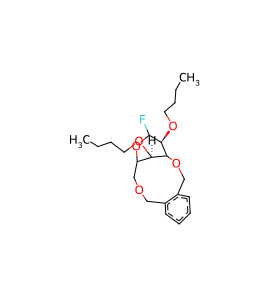 CCCCO[C@@H]1C(F)OC2COCc3ccccc3COC1[C@@H]2OCCCC